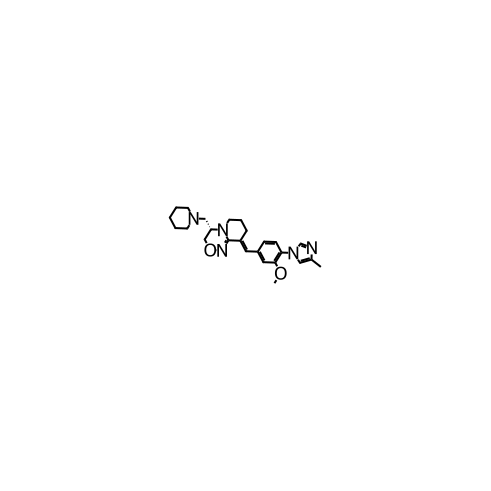 COc1cc(/C=C2\CCCN3C2=NOC[C@@H]3CN2CCCCC2)ccc1-n1cnc(C)c1